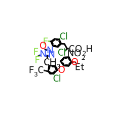 CCOc1cc(Oc2ccc(C(F)(F)F)cc2Cl)ccc1[N+](=O)[O-].Cc1nn(-c2cc(CC(Cl)C(=O)O)c(Cl)cc2F)c(=O)n1C(F)F